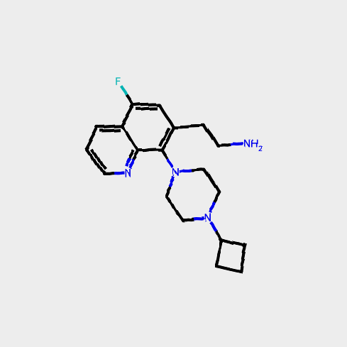 NCCc1cc(F)c2cccnc2c1N1CCN(C2CCC2)CC1